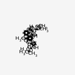 CC(C)(C)OC(=O)N[C@H]1CCN(c2ccc(-c3ccccc3N(C(=O)O)C(OCC[Si](C)(C)C)=S(=O)=O)c(C(C)(C)C)c2F)C1=O